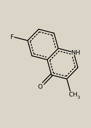 Cc1c[nH]c2ccc(F)cc2c1=O